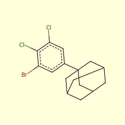 Clc1cc(C23CC4CC(CC(C4)C2)C3)cc(Br)c1Cl